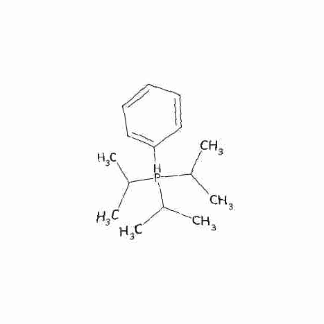 CC(C)[PH](c1ccccc1)(C(C)C)C(C)C